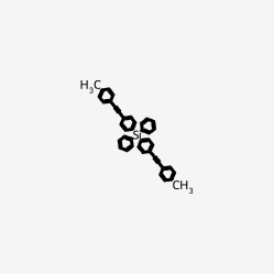 Cc1ccc(C#Cc2ccc([Si](c3ccccc3)(c3ccccc3)c3ccc(C#Cc4ccc(C)cc4)cc3)cc2)cc1